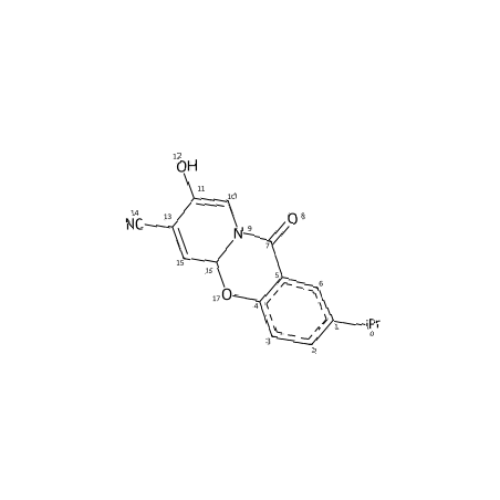 CC(C)c1ccc2c(c1)C(=O)N1C=C(O)C(C#N)=CC1O2